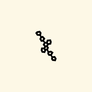 c1ccc(-c2ccc(-c3cc4c5ccccc5c(-c5ccc(-c6ccccc6)cc5)cc4c4ccccc34)cc2)cc1